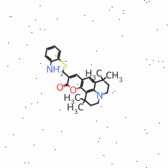 CC1(C)CCN2CCC(C)(C)c3c2c1cc1cc(CSc2ccccc2N)c(=O)oc31